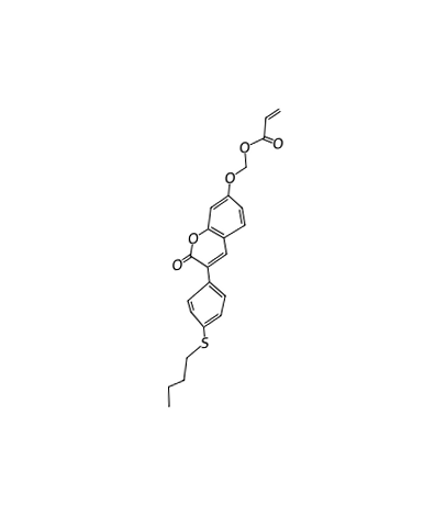 C=CC(=O)OCOc1ccc2cc(-c3ccc(SCCCC)cc3)c(=O)oc2c1